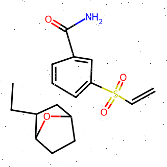 C=CS(=O)(=O)c1cccc(C(N)=O)c1.CCC1CC2CCC1O2